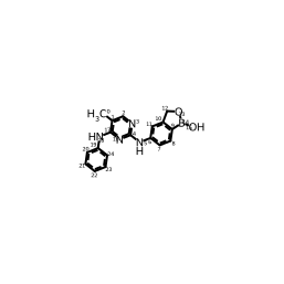 Cc1cnc(Nc2ccc3c(c2)COB3O)nc1Nc1ccccc1